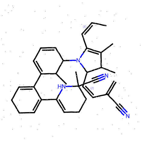 C=C(C#N)/C=C\C1C(C)C(C)=C(/C=C\C)N1C1C=CC=C(C2=CCCC=C2C2=CCCC(C)(C#N)N2)C1C